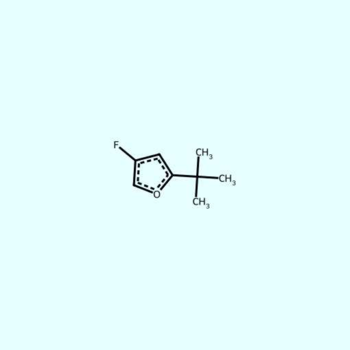 CC(C)(C)c1cc(F)co1